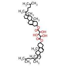 CC(C)CCC[C@@H](C)[C@H]1CCC2C3CC=C4C[C@@H](OC(=O)C(O)C(O)C(O)C(=O)O[C@H]5CC[C@@]6(C)C(=CCC7C6CC[C@@]6(C)C7CC[C@@H]6[C@H](C)CCCC(C)C)C5)CC[C@]4(C)C3CC[C@@]21C